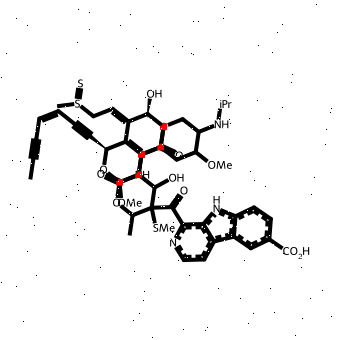 CC#C/C=C\C#C[C@H](OC1OC(C)C(SC)(C(=O)c2nccc3c2[nH]c2ccc(C(=O)O)cc23)C(O)C1OC1CC(OC)C(NC(C)C)CO1)C1=C(NC(=O)OC)C(=O)C[C@H](O)/C1=C/CS(C)=S